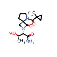 C[C@@H](O)[C@@H](C(N)=O)N1C[C@]2(CCCN2C(=O)C2(C(F)(F)F)CC2)C1=O